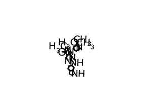 CCn1c(=O)c2cnc(Nc3ccc4c(c3)NCC4)nc2n1-c1ccnc(C(C)(C)C)c1